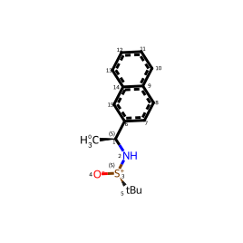 C[C@H](N[S@+]([O-])C(C)(C)C)c1ccc2ccccc2c1